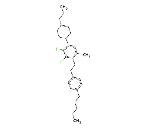 CCCCCc1ccc(CCc2c(C)cc(C3CCC(CCC)CC3)c(F)c2F)cc1